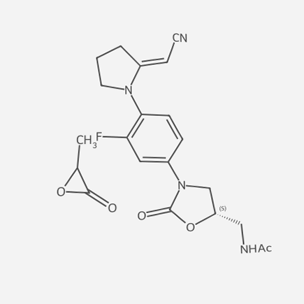 CC(=O)NC[C@H]1CN(c2ccc(N3CCCC3=CC#N)c(F)c2)C(=O)O1.CC1OC1=O